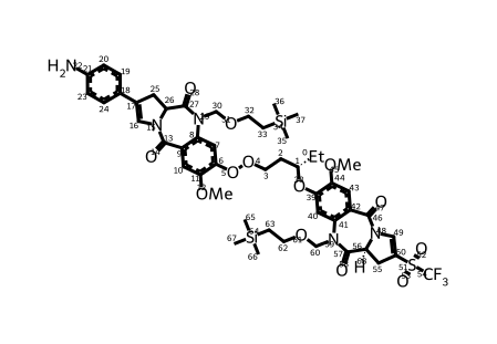 CC[C@@H](CCOOc1cc2c(cc1OC)C(=O)N1C=C(c3ccc(N)cc3)CC1C(=O)N2COCC[Si](C)(C)C)Oc1cc2c(cc1OC)C(=O)N1C=C(S(=O)(=O)C(F)(F)F)C[C@H]1C(=O)N2COCC[Si](C)(C)C